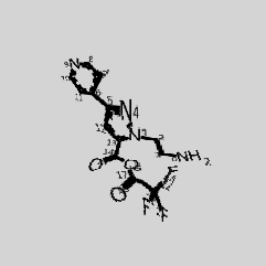 NCCn1nc(-c2ccncc2)cc1C(=O)OC(=O)C(F)(F)F